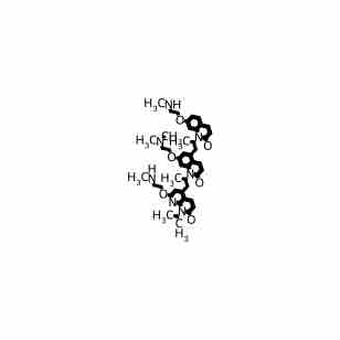 CNCCOc1ccc2ccc(=O)n(C(C)Cc3cc(OCCN(C)C)cc4c3ccc(=O)n4C(C)Cc3cc(OCCNC)nc4c3ccc(=O)n4C(C)C)c2c1